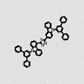 c1ccc(-c2cc(-c3ccccc3)cc(-n3c4ccccc4c4cc(-c5nnc(-c6cccc7c6c6ccccc6n7-c6cc(-c7ccccc7)cc(-c7ccccc7)c6)s5)ccc43)c2)cc1